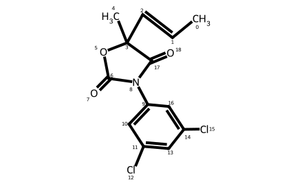 CC=CC1(C)OC(=O)N(c2cc(Cl)cc(Cl)c2)C1=O